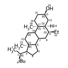 CCC(C)[C@@H](C)C1CCC2C3C[C@H](CC)[C@@H]4C[C@H](O)CC[C@]4(C)C3CC[C@@]21C